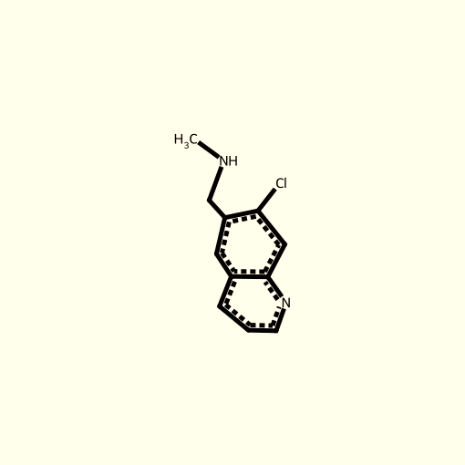 CNCc1cc2cccnc2cc1Cl